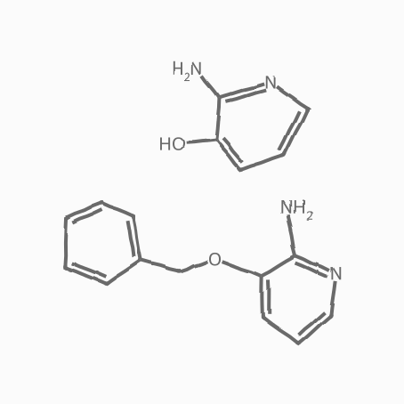 Nc1ncccc1O.Nc1ncccc1OCc1ccccc1